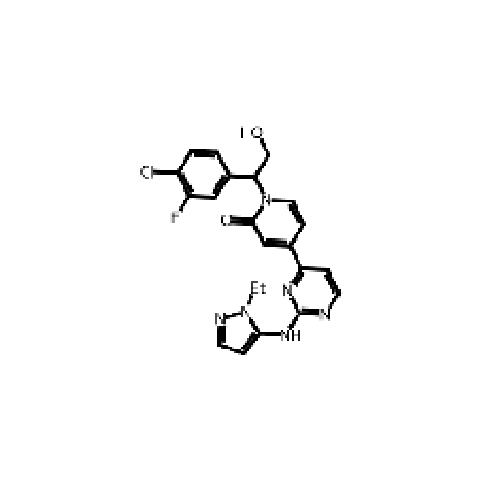 CCn1nccc1Nc1nccc(-c2ccn(C(CO)c3ccc(Cl)c(F)c3)c(=O)c2)n1